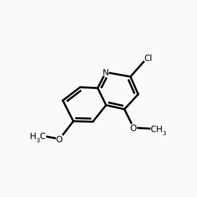 COc1ccc2nc(Cl)cc(OC)c2c1